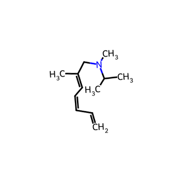 C=C/C=C\C=C(/C)CN(C)C(C)C